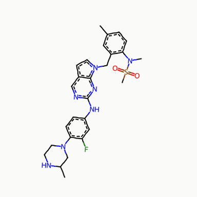 Cc1ccc(N(C)S(C)(=O)=O)c(Cn2ccc3cnc(Nc4ccc(N5CCNC(C)C5)c(F)c4)nc32)c1